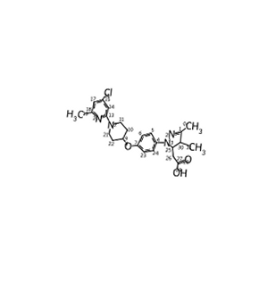 CC1=NN(c2ccc(OC3CCN(c4cc(Cl)cc(C)n4)CC3)cc2)C(CC(=O)O)C1C